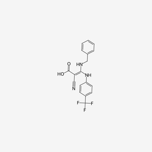 N#CC(C(=O)O)=C(NCc1ccccc1)Nc1ccc(C(F)(F)F)cc1